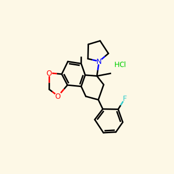 Cc1cc2c(c3c1C(C)(N1CCCC1)CC(c1ccccc1F)C3)OCO2.Cl